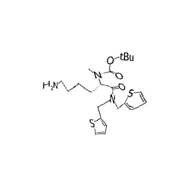 CN(C(=O)OC(C)(C)C)[C@@H](CCCCN)C(=O)N(Cc1cccs1)Cc1cccs1